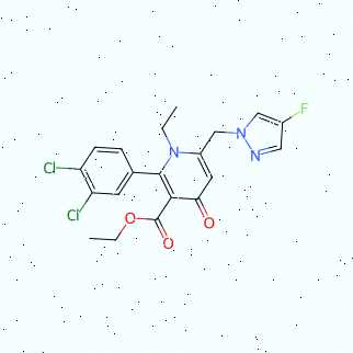 CCOC(=O)c1c(-c2ccc(Cl)c(Cl)c2)n(CC)c(Cn2cc(F)cn2)cc1=O